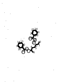 CCC(CCC(C)OOC(=O)c1ccccc1)OOC(=O)c1ccccc1